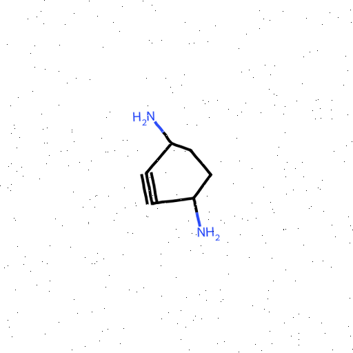 NC1C#CC(N)CC1